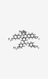 C=C(c1ccc2cc(C(F)(F)F)ccc2c1)C(/C(=N\C)c1ccc2cc(C(F)(F)F)ccc2c1)c1ccc(/C(=C\Cc2ccc(C)cc2)c2ccc(C)cc2)cc1